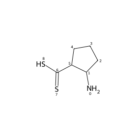 NC1CCCC1C(=S)S